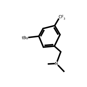 CN(C)Cc1cc(C(C)(C)C)cc(C(F)(F)F)c1